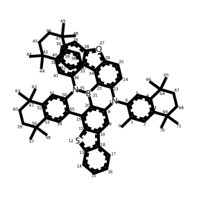 Cc1cc2c(cc1N1c3cc4c(sc5ccccc54)c4c3B(c3c1ccc1oc5ccccc5c31)N(c1ccc3c(c1)C(C)(C)CCC3(C)C)c1cc3c(cc1-4)C(C)(C)CCC3(C)C)C(C)(C)CCC2(C)C